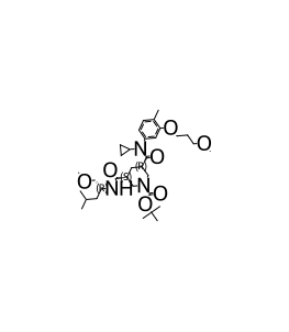 COCCCOc1cc(N(C(=O)[C@@H]2C[C@H](C(=O)N[C@@H](COC)CC(C)C)CN(C(=O)OC(C)(C)C)C2)C2CC2)ccc1C